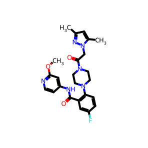 COc1cc(NC(=O)c2cc(F)ccc2N2CCN(C(=O)Cn3nc(C)cc3C)CC2)ccn1